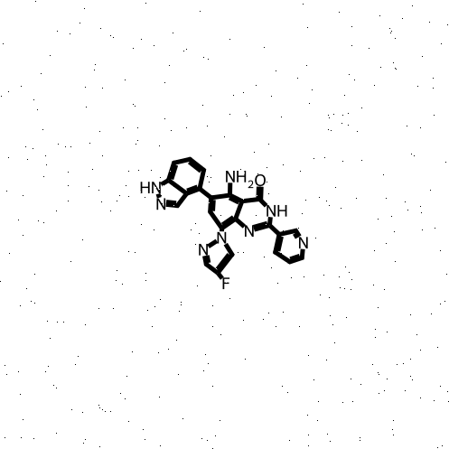 Nc1c(-c2cccc3[nH]ncc23)cc(-n2cc(F)cn2)c2nc(-c3cccnc3)[nH]c(=O)c12